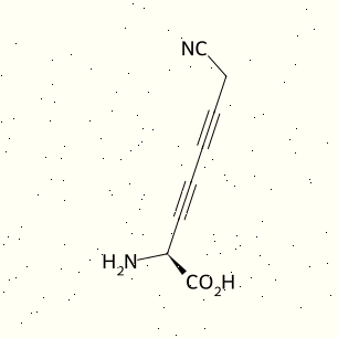 N#CCC#CC#C[C@H](N)C(=O)O